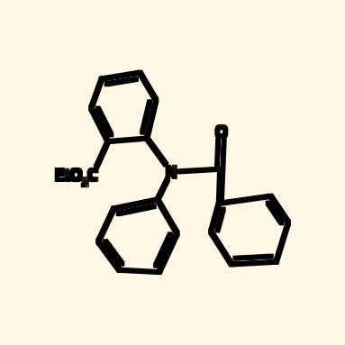 CCOC(=O)c1ccccc1N(C(=O)c1ccccc1)c1ccccc1